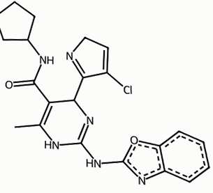 CC1=C(C(=O)NC2CCCC2)C(C2=NCC=C2Cl)N=C(Nc2nc3ccccc3o2)N1